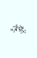 CC(C)(C)c1ncc(C2(N)CC2)s1